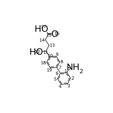 Nc1ccccc1-c1ccc(C(O)CCC(=O)O)cc1